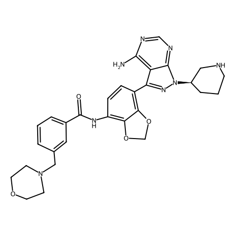 Nc1ncnc2c1c(-c1ccc(NC(=O)c3cccc(CN4CCOCC4)c3)c3c1OCO3)nn2[C@@H]1CCCNC1